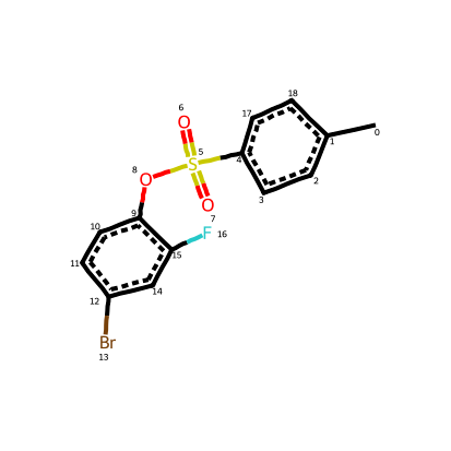 Cc1ccc(S(=O)(=O)Oc2ccc(Br)cc2F)cc1